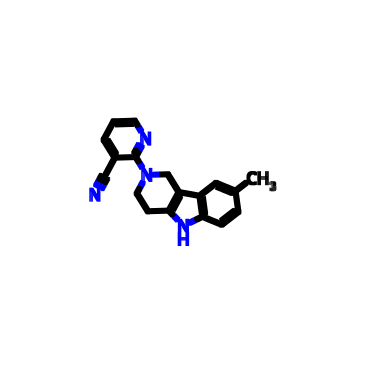 Cc1ccc2[nH]c3c(c2c1)CN(c1ncccc1C#N)CC3